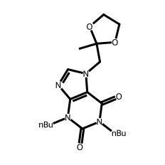 CCCCn1c(=O)c2c(ncn2CC2(C)OCCO2)n(CCCC)c1=O